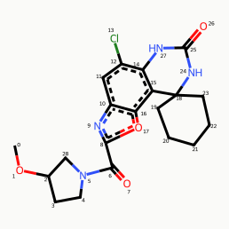 COC1CCN(C(=O)c2nc3cc(Cl)c4c(c3o2)C2(CCCCC2)NC(=O)N4)C1